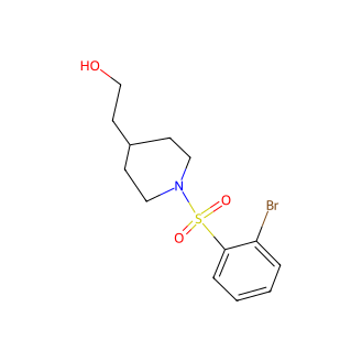 O=S(=O)(c1ccccc1Br)N1CCC(CCO)CC1